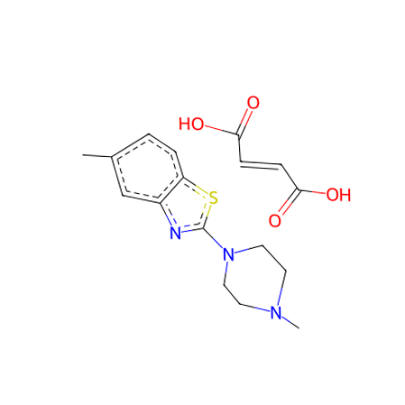 Cc1ccc2sc(N3CCN(C)CC3)nc2c1.O=C(O)C=CC(=O)O